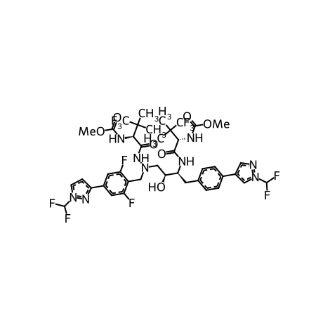 COC(=O)N[C@H](C(=O)N[C@@H](Cc1ccc(-c2cnn(C(F)F)c2)cc1)[C@@H](O)CN(Cc1c(F)cc(-c2ccn(C(F)F)n2)cc1F)NC(=O)[C@@H](NC(=O)OC)C(C)(C)C(F)(F)F)C(C)(C)C(F)(F)F